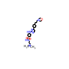 CN(C)CCCNS(=O)(=O)c1ccc(Nc2nccc(-c3ccc(/C=C/CN4CCOCC4)cc3)n2)cc1